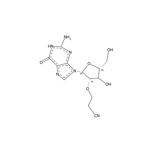 N#CCCO[C@H]1C(O)[C@@H](CO)O[C@H]1n1cnc2c(=O)[nH]c(N)nc21